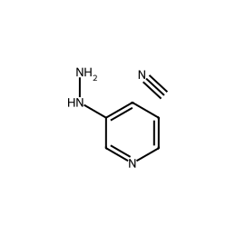 C#N.NNc1cccnc1